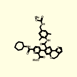 COC(=O)c1nc(C(=O)NC2CCCCCC2)ccc1-c1cc2c(cc1C(=O)Nc1c(C)cc(CNC(=O)OC(C)(C)C)cc1C)-c1sccc1CCO2